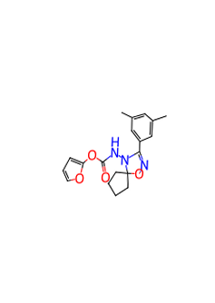 Cc1cc(C)cc(C2=NOC3(CCCC3)N2NC(=O)Oc2ccco2)c1